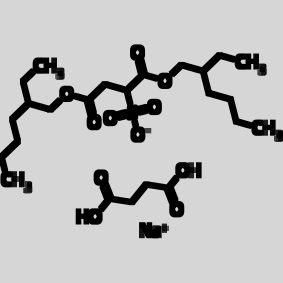 CCCCC(CC)COC(=O)CC(C(=O)OCC(CC)CCCC)S(=O)(=O)[O-].O=C(O)CCC(=O)O.[Na+]